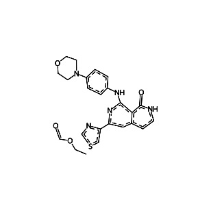 CCOC=O.O=c1[nH]ccc2cc(-c3cscn3)nc(Nc3ccc(N4CCOCC4)cc3)c12